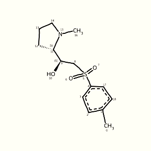 Cc1ccc(S(=O)(=O)C[C@@H](O)[C@@H]2CCCN2C)cc1